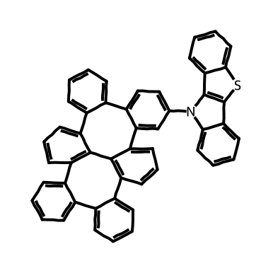 c1ccc2c(c1)sc1c3ccccc3n(-c3ccc4c(c3)c3cccc5c3-c3c(cccc3c3ccccc34)c3ccccc3c3ccccc53)c21